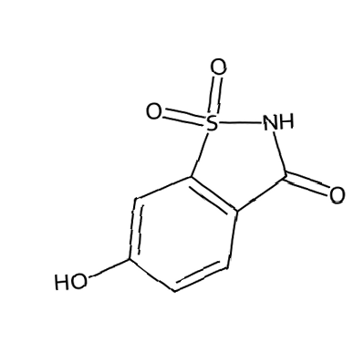 O=C1NS(=O)(=O)c2cc(O)ccc21